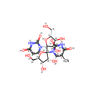 N#Cc1cn([C@]2([C@@]3(n4ccc(=O)[nH]c4=O)O[C@H](CO)[C@@H](O)[C@H]3O)O[C@H](CO)[C@@H](O)[C@H]2O)c(=O)[nH]c1=O